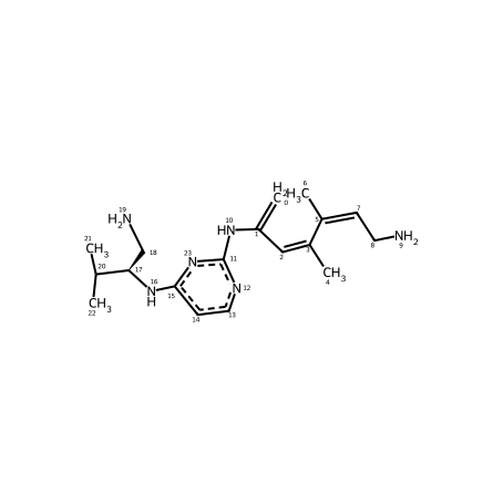 C=C(/C=C(C)\C(C)=C/CN)Nc1nccc(N[C@H](CN)C(C)C)n1